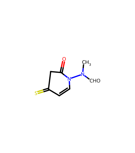 CN(C=O)N1C=CC(=S)CC1=O